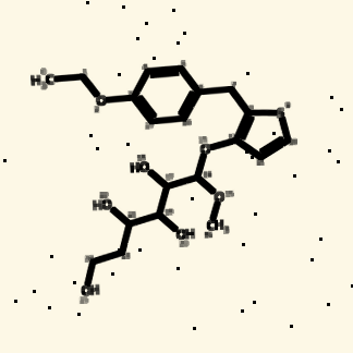 CCOc1ccc(Cc2sccc2OC(OC)C(O)C(O)C(O)CCO)cc1